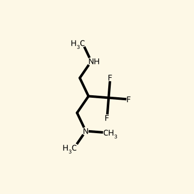 CNCC(CN(C)C)C(F)(F)F